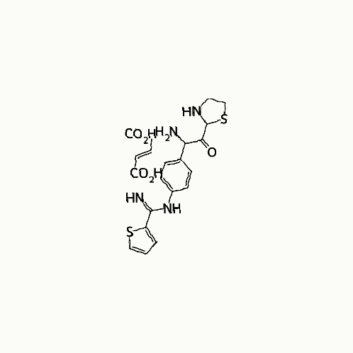 N=C(Nc1ccc(C(N)C(=O)C2NCCS2)cc1)c1cccs1.O=C(O)/C=C/C(=O)O